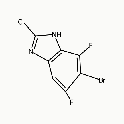 Fc1cc2nc(Cl)[nH]c2c(F)c1Br